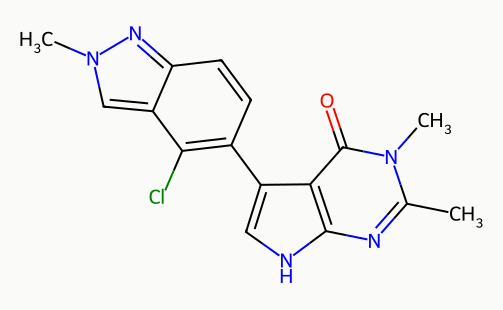 Cc1nc2[nH]cc(-c3ccc4nn(C)cc4c3Cl)c2c(=O)n1C